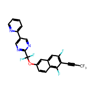 Fc1cc2cc(OC(F)(F)c3ncc(-c4ccccn4)cn3)ccc2c(F)c1C#CC(F)(F)F